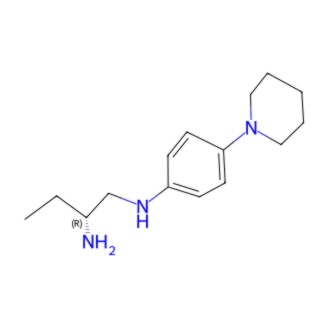 CC[C@@H](N)CNc1ccc(N2CCCCC2)cc1